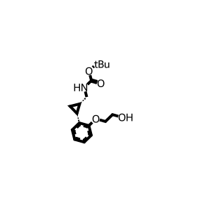 CC(C)(C)OC(=O)NC[C@H]1C[C@H]1c1ccccc1OCCO